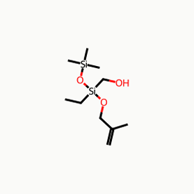 C=C(C)CO[Si](CC)(CO)O[Si](C)(C)C